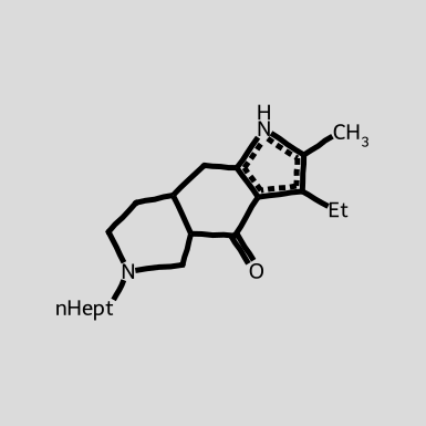 CCCCCCCN1CCC2Cc3[nH]c(C)c(CC)c3C(=O)C2C1